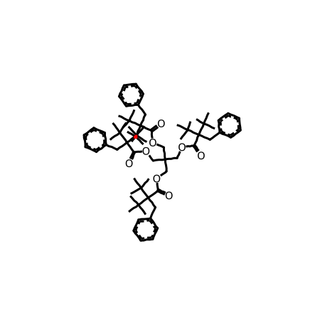 CC(C)(C)C(Cc1ccccc1)(C(=O)OCC(COC(=O)C(Cc1ccccc1)(C(C)(C)C)C(C)(C)C)(COC(=O)C(Cc1ccccc1)(C(C)(C)C)C(C)(C)C)COC(=O)C(Cc1ccccc1)(C(C)(C)C)C(C)(C)C)C(C)(C)C